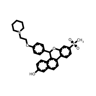 CS(=O)(=O)c1ccc2c(c1)OC(c1ccc(OCCN3CCCCC3)cc1)c1c-2ccc2cc(O)ccc12